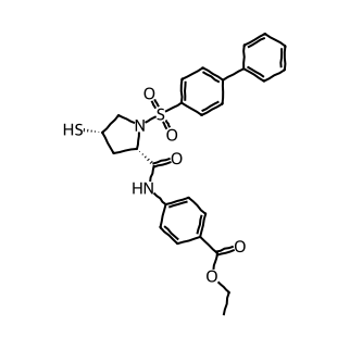 CCOC(=O)c1ccc(NC(=O)[C@@H]2C[C@H](S)CN2S(=O)(=O)c2ccc(-c3ccccc3)cc2)cc1